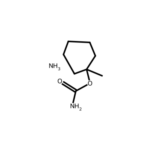 CC1(OC(N)=O)CCCCC1.N